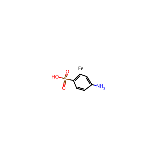 Nc1ccc(S(=O)(=O)O)cc1.[Fe]